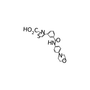 O=C(Nc1ccc(N2CCOCC2)cc1)c1cccc(-c2csc(C(=O)O)n2)c1